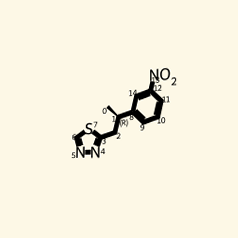 C[C@H](Cc1nncs1)c1cccc([N+](=O)[O-])c1